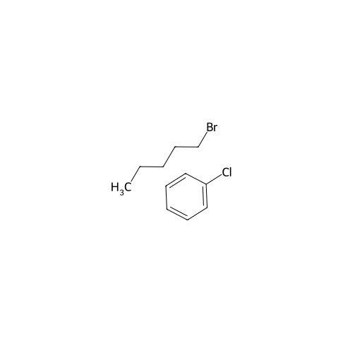 CCCCCBr.Clc1ccccc1